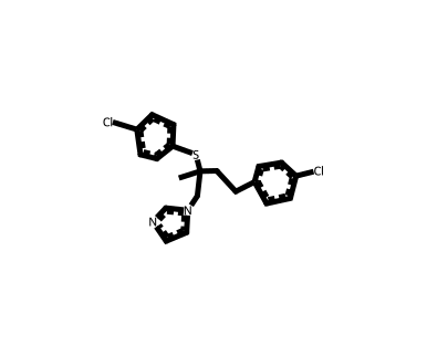 CC(CCc1ccc(Cl)cc1)(Cn1ccnc1)Sc1ccc(Cl)cc1